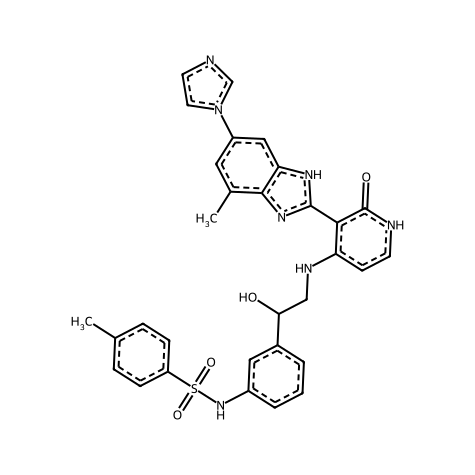 Cc1ccc(S(=O)(=O)Nc2cccc(C(O)CNc3cc[nH]c(=O)c3-c3nc4c(C)cc(-n5ccnc5)cc4[nH]3)c2)cc1